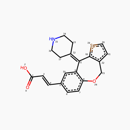 O=C(O)C=Cc1ccc2c(c1)C(=C1CCNCC1)c1sccc1CO2